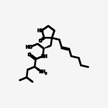 CCCC/C=C/CC1(C[C@@H](CO)NC(=O)[C@@H](N)CC(C)C)CCNC1=O